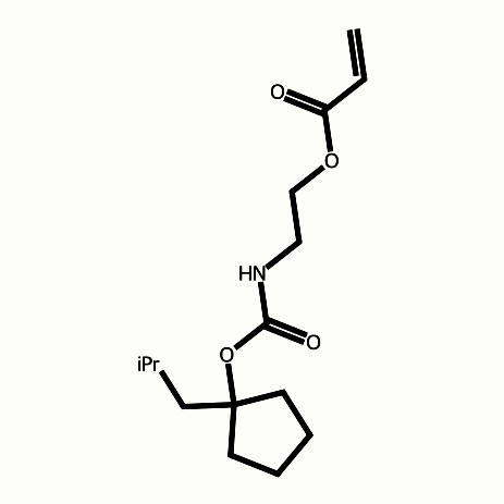 C=CC(=O)OCCNC(=O)OC1(CC(C)C)CCCC1